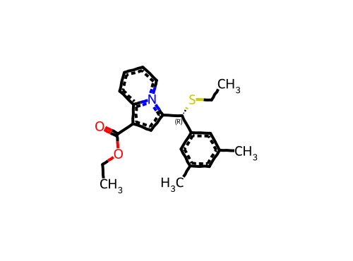 CCOC(=O)c1cc([C@H](SCC)c2cc(C)cc(C)c2)n2ccccc12